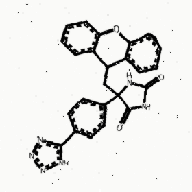 O=C1NC(=O)C(CC2c3ccccc3Oc3ccccc32)(c2ccc(-c3nnn[nH]3)cc2)N1